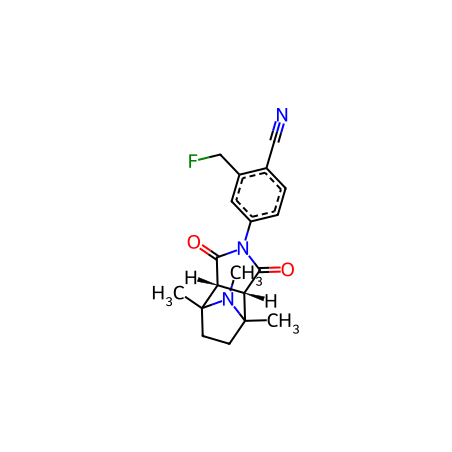 CN1C2(C)CCC1(C)[C@H]1C(=O)N(c3ccc(C#N)c(CF)c3)C(=O)[C@H]12